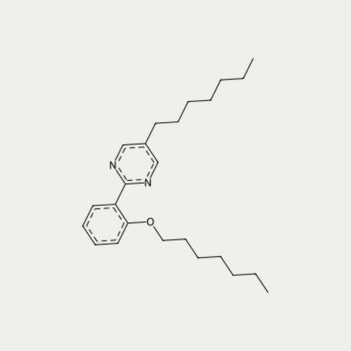 CCCCCCCOc1ccccc1-c1ncc(CCCCCCC)cn1